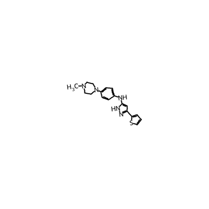 CN1CCN(c2ccc(Nc3cc(-c4cccs4)n[nH]3)cc2)CC1